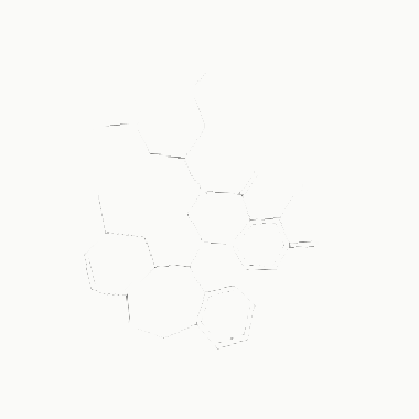 COCC(COC)N1CN(C2C3=C(C=CC(C)C3)SCc3ccccc32)n2ccc(=O)c(C)c2C1=O